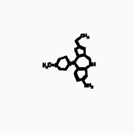 CCc1cc2c(s1)N(N1CCN(C)CC1)c1ccc(N)cc1NC2